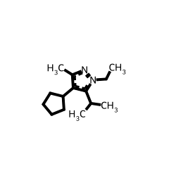 CCn1nc(C)c(C2CCCC2)c1C(C)C